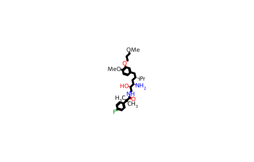 COCCCOc1cc(C[C@@H](C[C@H](N)[C@@H](O)CNC(=O)C(C)(C)c2ccc(F)cc2)C(C)C)ccc1OC